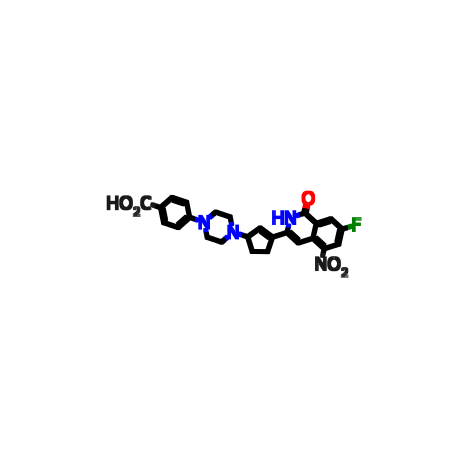 O=C(O)c1ccc(N2CCN(C3C=C(c4cc5c([N+](=O)[O-])cc(F)cc5c(=O)[nH]4)CC3)CC2)cc1